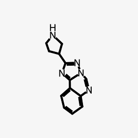 c1ccc2c(c1)ncn1nc(C3CCNC3)nc21